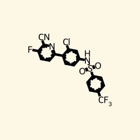 N#Cc1nc(-c2ccc(NS(=O)(=O)c3ccc(C(F)(F)F)cc3)cc2Cl)ccc1F